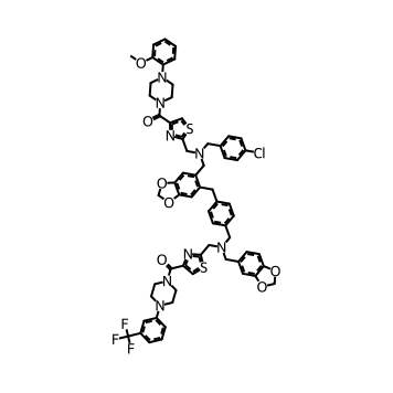 COc1ccccc1N1CCN(C(=O)c2csc(CN(Cc3ccc(Cl)cc3)Cc3cc4c(cc3Cc3ccc(CN(Cc5ccc6c(c5)OCO6)Cc5nc(C(=O)N6CCN(c7cccc(C(F)(F)F)c7)CC6)cs5)cc3)OCO4)n2)CC1